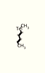 C/C=C/C=C/[Te]C